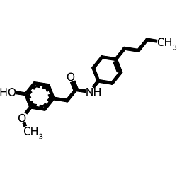 CCCCC1=CCC(NC(=O)Cc2ccc(O)c(OC)c2)CC1